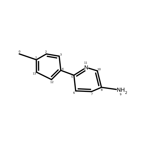 Cc1ccc(-c2ccc(N)cn2)cc1